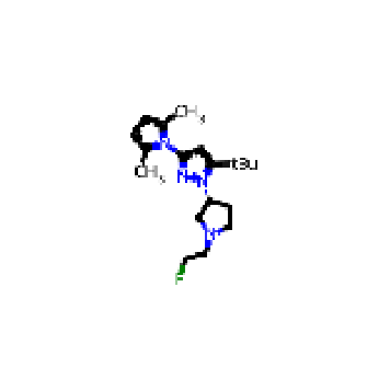 Cc1ccc(C)n1-c1cc(C(C)(C)C)n([C@@H]2CCN(CCF)C2)n1